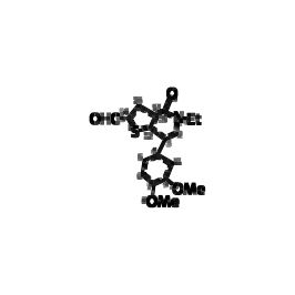 CCn1cc(-c2ccc(OC)c(OC)c2)c2sc(C=O)cc2c1=O